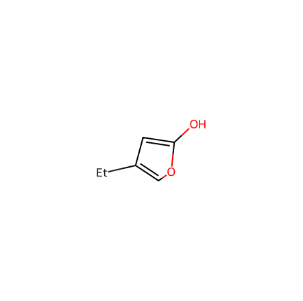 [CH2]Cc1coc(O)c1